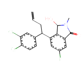 C=CCC(c1ccc(Cl)c(Cl)c1)c1cc(F)cc2c1C(O)N(C)C2=O